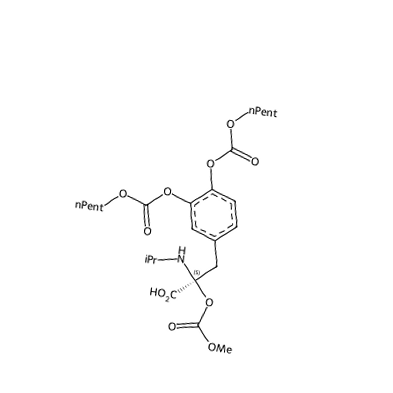 CCCCCOC(=O)Oc1ccc(C[C@](NC(C)C)(OC(=O)OC)C(=O)O)cc1OC(=O)OCCCCC